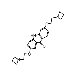 O=c1c2ccc(OCCN3CCC3)cc2[nH]c2ccc(OCCN3CCC3)cc12